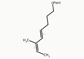 C/[C]=C(C)\C=C\CCCCCCCC